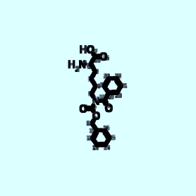 N[C@@H](CCCCN(C(=O)OCc1ccccc1)C(=O)c1ccccc1)C(=O)O